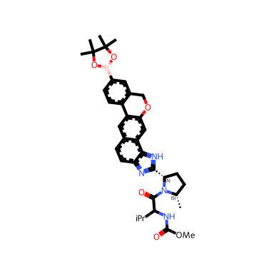 COC(=O)NC(C(=O)N1[C@@H](C)CC[C@H]1c1nc2ccc3cc4c(cc3c2[nH]1)OCc1cc(B2OC(C)(C)C(C)(C)O2)ccc1-4)C(C)C